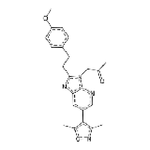 COc1ccc(CCc2nc3cc(-c4c(C)noc4C)cnc3n2CC(C)=O)cc1